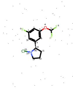 Fc1cc(OC(F)F)cc([C@H]2CCCN2Cl)c1